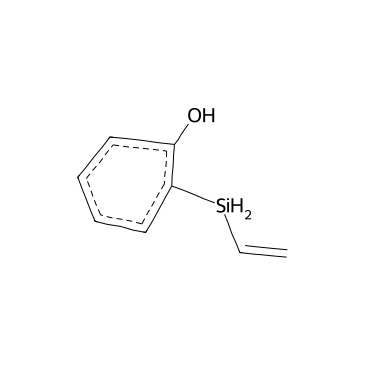 C=C[SiH2]c1ccccc1O